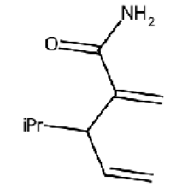 C=CC(C(=C)C(N)=O)C(C)C